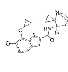 O=C(N[C@@H]1C2CCN(CC2)C12CC2)c1cc2ccc(Cl)c(OC3CC3)c2s1